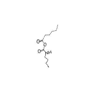 CCCCCC(=O)OC(=O)NCCCC